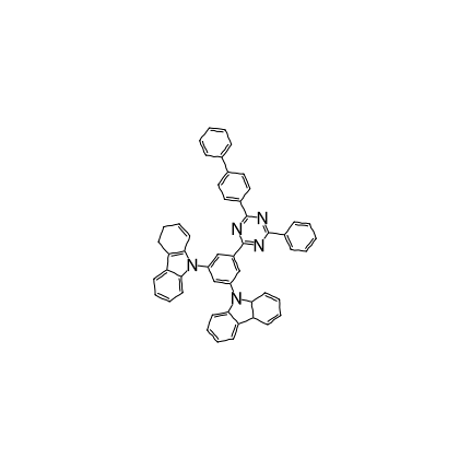 C1=CC2c3ccccc3N(c3cc(-c4nc(-c5ccccc5)nc(-c5ccc(-c6ccccc6)cc5)n4)cc(-n4c5c(c6ccccc64)CCC=C5)c3)C2C=C1